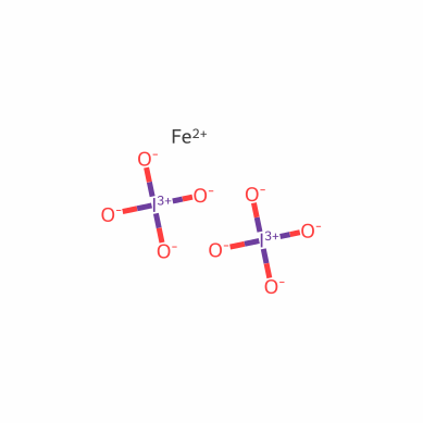 [Fe+2].[O-][I+3]([O-])([O-])[O-].[O-][I+3]([O-])([O-])[O-]